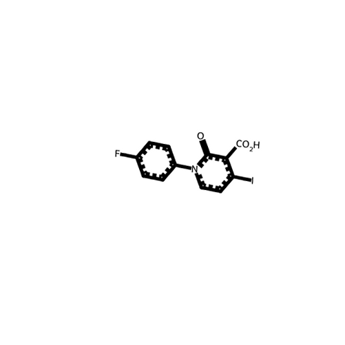 O=C(O)c1c(I)ccn(-c2ccc(F)cc2)c1=O